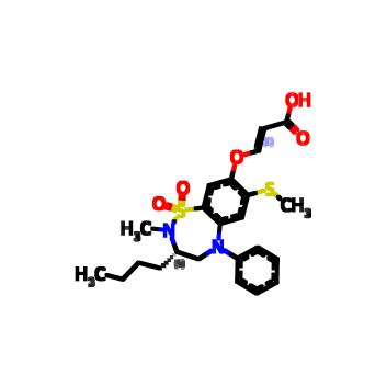 CCCC[C@H]1CN(c2ccccc2)c2cc(SC)c(O/C=C/C(=O)O)cc2S(=O)(=O)N1C